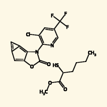 CCCCC(S)C(=O)OC.O=c1oc2cc3cc-3c2n1-c1ncc(C(F)(F)F)cc1Cl